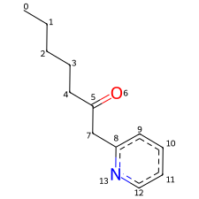 CCCCCC(=O)Cc1ccccn1